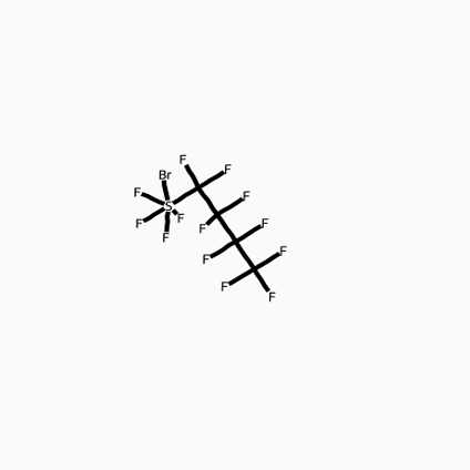 FC(F)(F)C(F)(F)C(F)(F)C(F)(F)S(F)(F)(F)(F)Br